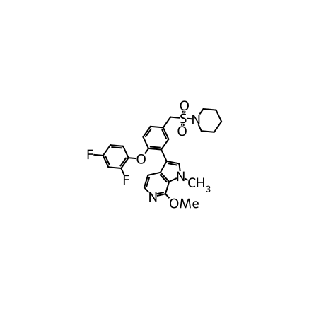 COc1nccc2c(-c3cc(CS(=O)(=O)N4CCCCC4)ccc3Oc3ccc(F)cc3F)cn(C)c12